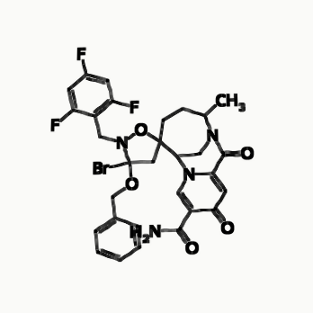 CC1CCC2(CC(Br)(OCc3ccccc3)N(Cc3c(F)cc(F)cc3F)O2)C2CN1C(=O)c1cc(=O)c(C(N)=O)cn12